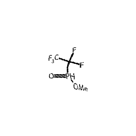 CO[PH](=O)C(F)(F)C(F)(F)F